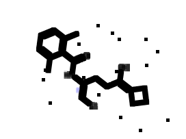 CC/C=C(\CCC(O)=C1CCC1)NC(=O)c1c(C)cccc1C